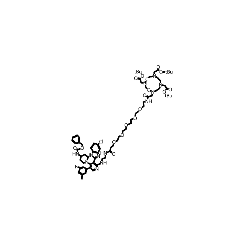 Cc1cc(F)cc(-c2cnc(NCCNC(=O)CCOCCOCCOCCOCCOCCNC(=O)CN3CCN(CC(=O)OC(C)(C)C)CCN(CC(=O)OC(C)(C)C)CCN(CC(=O)OC(C)(C)C)CC3)c(-c3nc4cc(Cl)ccc4[nH]3)c2N2CCC(NC(=O)OCc3ccccc3)CC2)c1